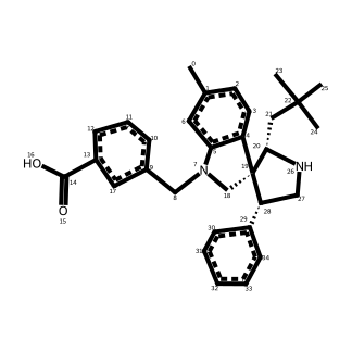 Cc1ccc2c(c1)N(Cc1cccc(C(=O)O)c1)C[C@@]21[C@H](CC(C)(C)C)NC[C@@H]1c1ccccc1